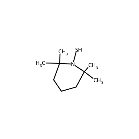 CC1(C)CCCC(C)(C)N1S